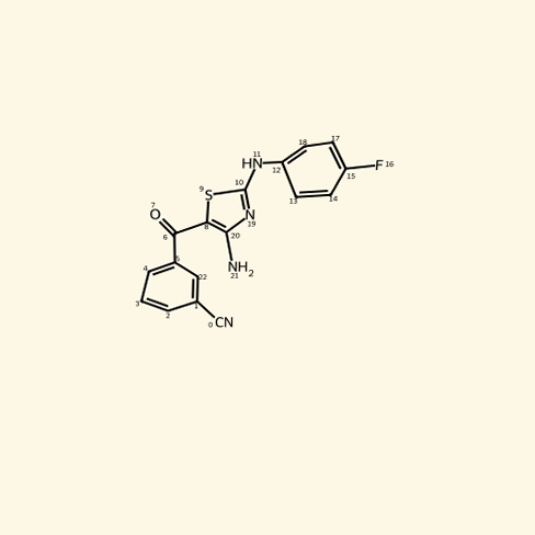 N#Cc1cccc(C(=O)c2sc(Nc3ccc(F)cc3)nc2N)c1